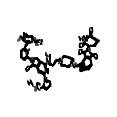 CCn1cnnc1-c1cccc(N2Cc3c(cc(N4CCC[C@H]4C)nc3NCCN3CCN(c4cccc5c4C(=O)N(C4CCC(=O)NC4=O)C5=O)CC3)C2=O)n1